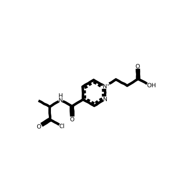 CC(NC(=O)c1cc[n+](CCC(=O)O)nc1)C(=O)Cl